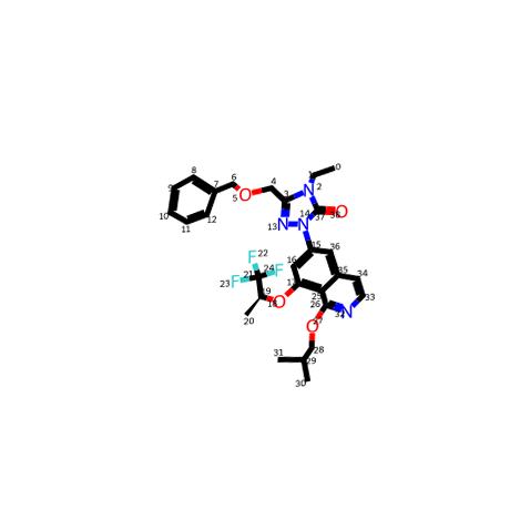 CCn1c(COCc2ccccc2)nn(-c2cc(O[C@@H](C)C(F)(F)F)c3c(OCC(C)C)nccc3c2)c1=O